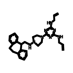 C=CCNc1nc(NCC=C)nc(N2CCN(NCC3c4ccccc4CCc4ccccc43)CC2)n1